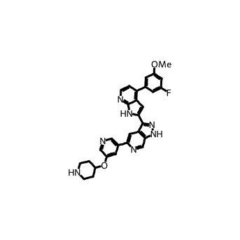 COc1cc(F)cc(-c2ccnc3[nH]c(-c4n[nH]c5cnc(-c6cncc(OC7CCNCC7)c6)cc45)cc23)c1